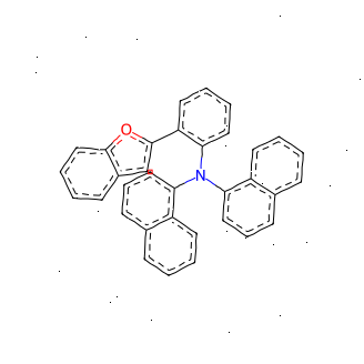 c1ccc(N(c2cccc3ccccc23)c2cccc3ccccc23)c(-c2cc3ccccc3o2)c1